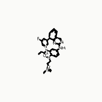 C=CC(=O)Nc1cc(Nc2ncc3cccc(-c4cncc(F)c4)c3n2)ccc1N(C)CCN(C)C